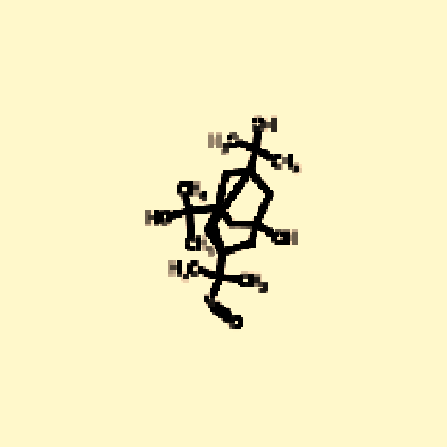 CC(C)(O)C12CC3(O)CC(C(C)(C)O)(C1)CC(C(C)(C)N=O)(C3)C2